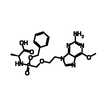 COc1nc(N)nc2c1ncn2CCOCP(=O)(N[C@@H](C)C(=O)O)OCc1ccccc1